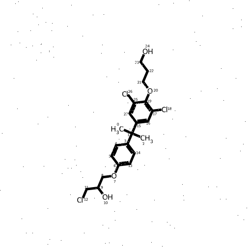 CC(C)(c1ccc(OCC(O)CCl)cc1)c1cc(Cl)c(OCCCO)c(Cl)c1